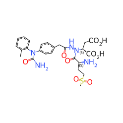 Cc1ccccc1N(C(N)=O)c1ccc(CC(=O)NN(C(=O)[C@@H](N)CCS(C)(=O)=O)[C@@H](CC(=O)O)C(=O)O)cc1